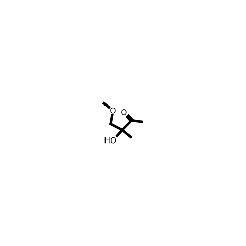 COCC(C)(O)C(C)=O